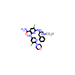 NC(=O)c1cc(F)c(NC(CNC(=O)O)Cc2ccccc2)nc1Nc1cnc(N2CCOCC2)c(F)c1